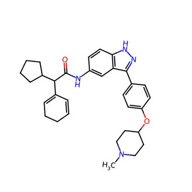 CN1CCC(Oc2ccc(-c3n[nH]c4ccc(NC(=O)C(C5=CCCC=C5)C5CCCC5)cc34)cc2)CC1